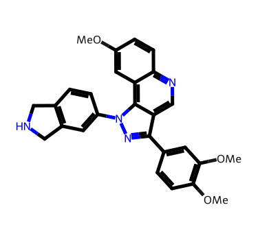 COc1ccc2ncc3c(-c4ccc(OC)c(OC)c4)nn(-c4ccc5c(c4)CNC5)c3c2c1